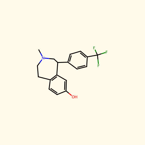 CN1CCc2ccc(O)cc2C(c2ccc(C(F)(F)F)cc2)C1